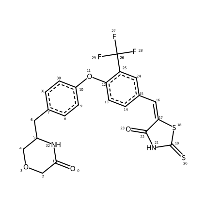 O=C1COCC(Cc2ccc(Oc3ccc(C=C4SC(=S)NC4=O)cc3C(F)(F)F)cc2)N1